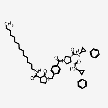 CCCCCCCCCCCCCCNC(=O)C1CCN(Cc2ccc(C(=O)N3C[C@@H](C(=O)NC4C[C@@H]4c4ccccc4)[C@H](C(=O)NC4C[C@@H]4c4ccccc4)C3)cc2)C1=O